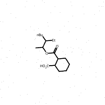 CCCCC(CC)C(C)OC(=O)C1CCCCC1C(=O)O